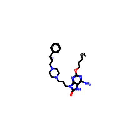 CCCCOc1nc(N)c2[nH]c(=O)n(CCCN3CCN(C/C=C/c4ccccc4)CC3)c2n1